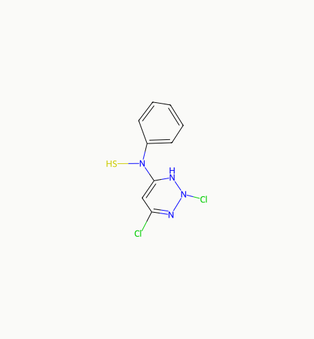 SN(C1=CC(Cl)=NN(Cl)N1)c1ccccc1